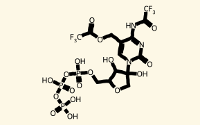 O=C(Nc1nc(=O)n(C2(O)COC(COP(=O)(O)OP(=O)(O)OP(=O)(O)O)C2O)cc1COC(=O)C(F)(F)F)C(F)(F)F